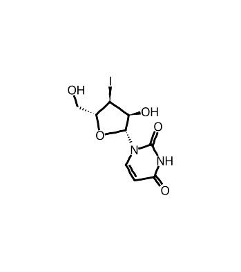 O=c1ccn([C@@H]2O[C@H](CO)[C@@H](I)[C@H]2O)c(=O)[nH]1